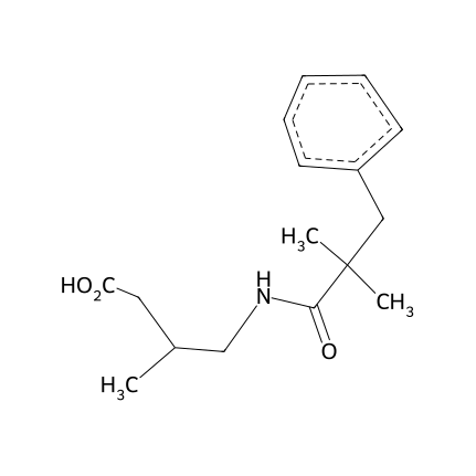 CC(CNC(=O)C(C)(C)Cc1ccccc1)CC(=O)O